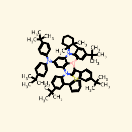 CC(C)(C)c1ccc(N(c2ccc(C(C)(C)C)cc2)c2cc3c4c(c2)N2c5c(cc(C(C)(C)C)cc5C5(C)CCCCC25C)B4c2c(sc4cc(C(C)(C)C)ccc24)N3c2ccc(C(C)(C)C)cc2-c2ccccc2)cc1